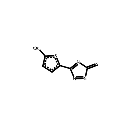 CC(C)(C)c1ccc(C2=NC(=S)N=N2)s1